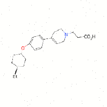 CC[C@H]1CC[C@H](Oc2ccc(C3=CCN(CCC(=O)O)CC3)cc2)CC1